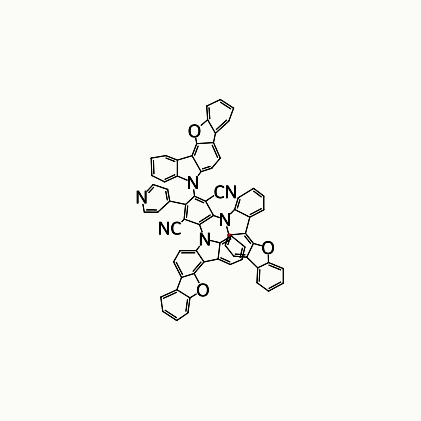 N#Cc1c(-c2ccncc2)c(-n2c3ccccc3c3c4oc5ccccc5c4ccc32)c(C#N)c(-n2c3ccccc3c3c4oc5ccccc5c4ccc32)c1-n1c2ccccc2c2c3oc4ccccc4c3ccc21